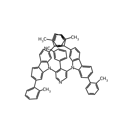 Cc1ccccc1-c1ccc2c3ccc(-c4ccccc4C)cc3n(-c3cncc(-n4c5cc(-c6ccccc6C)ccc5c5ccc(-c6ccccc6C)cc54)c3-c3cccc(C#N)c3)c2c1